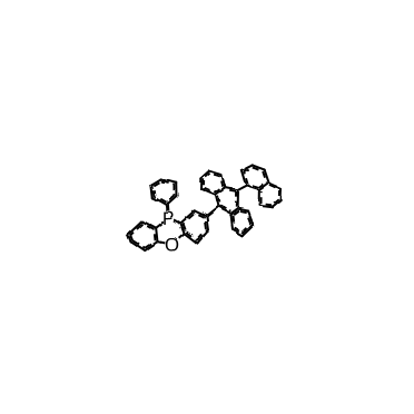 c1ccc(P2c3ccccc3Oc3ccc(-c4c5ccccc5c(-c5cccc6ccccc56)c5ccccc45)cc32)cc1